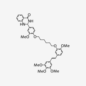 COc1cc(C2NC(=O)c3ccccc3N2)ccc1OCCCCCCOc1cc(C=Cc2cc(OC)c(OC)c(OC)c2)ccc1OC